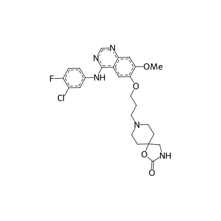 COc1cc2ncnc(Nc3ccc(F)c(Cl)c3)c2cc1OCCCN1CCC2(CC1)CNC(=O)O2